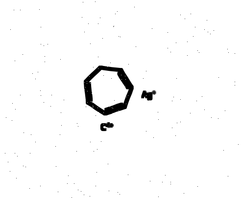 C1=CC=CCC=C1.[Ag+].[C+4]